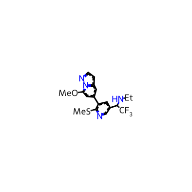 CCNC(c1cnc(SC)c(-c2cc(OC)n3nccc3c2)c1)C(F)(F)F